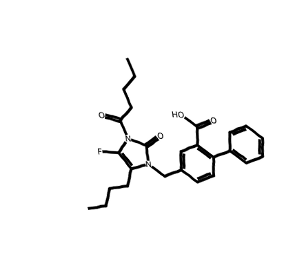 CCCCC(=O)n1c(F)c(CCCC)n(Cc2ccc(-c3ccccc3)c(C(=O)O)c2)c1=O